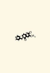 Cc1cc2c(nc1Cl)CCN(Cc1ccncc1)C2=O